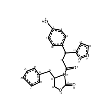 O=C(CC(c1ccc(O)cc1)c1ccon1)N1C(=O)OCC1Cc1ccccc1